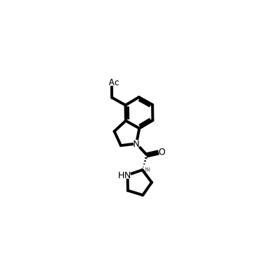 CC(=O)Cc1cccc2c1CCN2C(=O)[C@@H]1CCCN1